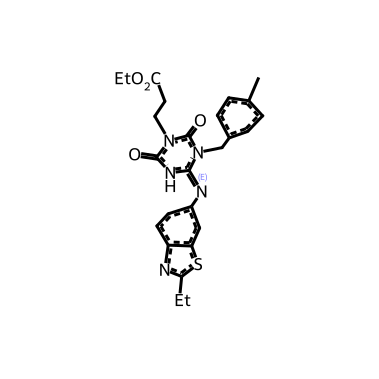 CCOC(=O)CCn1c(=O)[nH]/c(=N\c2ccc3nc(CC)sc3c2)n(Cc2ccc(C)cc2)c1=O